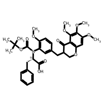 COc1ccc(CC2COc3cc(OC)c(OC)c(OC)c3C2=O)cc1N(C(=O)OC(C)(C)C)[C@@H](Cc1ccccc1)C(=O)O